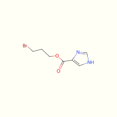 O=C(OCCCBr)c1c[nH]cn1